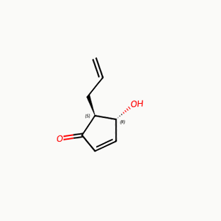 C=CC[C@@H]1C(=O)C=C[C@H]1O